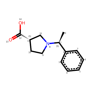 C[C@@H](c1ccccc1)N1CC[C@H](C(=O)O)C1